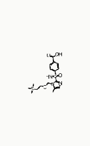 Cc1cnc(S(=N)(=O)c2ccc(C(=O)O)cc2)n1COCC[Si](C)(C)C